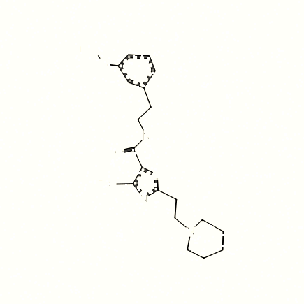 O=C(NCCc1cccc(OC(F)(F)F)c1)c1sc(CCN2CCCCC2)nc1C(F)(F)F